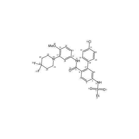 CCS(=O)(=O)Nc1ccc(C(=O)Nc2ccc(OC)c(N3CCC(F)(F)CC3)c2)c(-c2ccc(Cl)cc2)c1